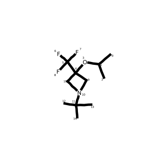 CC(C)OC1(C(F)(F)F)CN(C(C)(C)C)C1